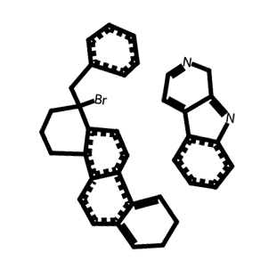 BrC1(Cc2ccccc2)CCCc2c1ccc1c3c(ccc21)=CCCC=3.C1=NCC2=Nc3ccccc3C2=C1